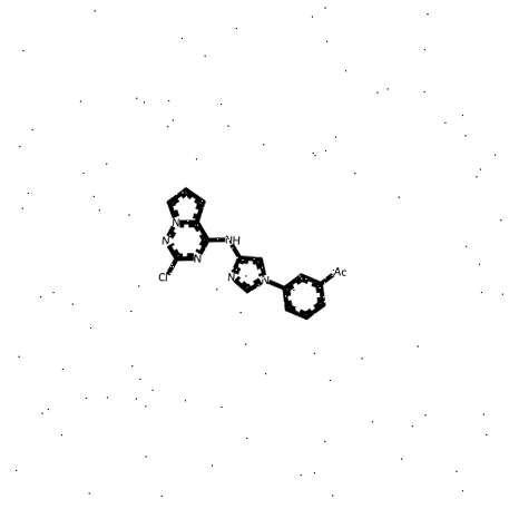 CC(=O)c1cccc(-n2cnc(Nc3nc(Cl)nn4cccc34)c2)c1